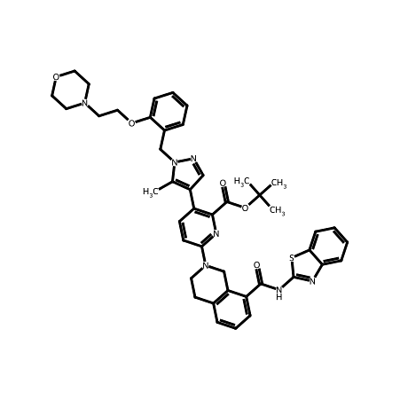 Cc1c(-c2ccc(N3CCc4cccc(C(=O)Nc5nc6ccccc6s5)c4C3)nc2C(=O)OC(C)(C)C)cnn1Cc1ccccc1OCCN1CCOCC1